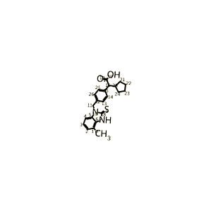 Cc1cccc2c1[nH]c(=S)n2Cc1ccc(C(C(=O)O)C2CCCC2)cc1